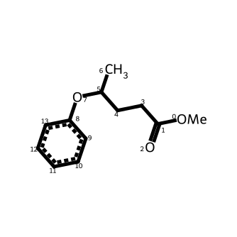 COC(=O)CCC(C)Oc1ccccc1